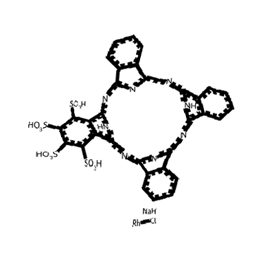 O=S(=O)(O)c1c(S(=O)(=O)O)c(S(=O)(=O)O)c2c3nc4nc(nc5[nH]c(nc6nc(nc([nH]3)c2c1S(=O)(=O)O)-c1ccccc1-6)c1ccccc51)-c1ccccc1-4.[Cl][Rh].[NaH]